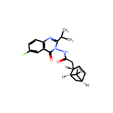 CC(C)c1nc2ccc(F)cc2c(=O)n1NC(=O)C[C@@H]1CC[C@H]2C[C@@H]1C2(C)C